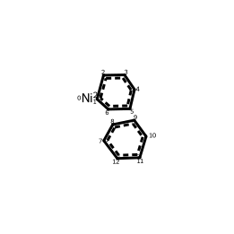 [Ni+2].c1ccccc1.c1ccccc1